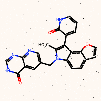 O=C(O)c1c(-c2ccc[nH]c2=O)c2c3occc3ccc2n1Cc1cnc2nc[nH]c(=O)c2c1